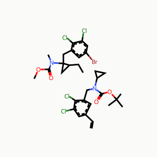 C=Cc1cc(Cl)c(Cl)c(CN(C(=O)OC(C)(C)C)C2CC2)c1.CCC1CC1(Cc1cc(Br)cc(Cl)c1Cl)N(C)C(=O)OC